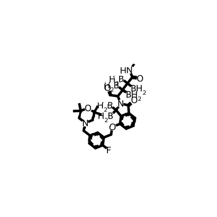 BC1(B)c2c(OCc3cc(CN4CC(C)(C)OC(C)(C)C4)ccc3F)cccc2C(=O)N1C(C=O)C(B)(B)C(B)(B)C(=O)NC